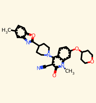 Cc1ccc2oc(C3CCN(c4c(C#N)c(=O)n(C)c5cc(OC6CCOCC6)ccc45)CC3)nc2c1